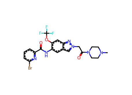 CN1CCN(C(=O)Cn2cc3cc(NC(=O)c4cccc(Br)n4)c(OC(F)(F)F)cc3n2)CC1